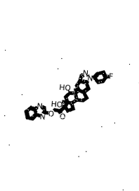 CC12Cc3cnn(-c4ccc(F)cc4)c3C=C1CCC1C2[C@@H](O)CC2(C)C1CCC2(O)C(=O)COc1cnc2ccccc2n1